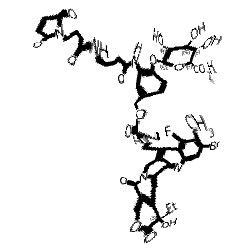 CC[C@@]1(O)C(=O)OCc2c1cc1n(c2=O)Cc2c-1nc1cc(Br)c(C)c(F)c1c2CNC(=O)OCc1ccc(O[C@@H]2O[C@H](C(=O)O)[C@@H](O)[C@H](O)[C@H]2O)c(NC(=O)CCNC(=O)CCN2C(=O)C=CC2=O)c1